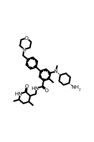 Cc1c(C(=O)NCC2C(=O)NC(C)CC2C)cc(-c2ccc(CN3CCOCC3)cc2)cc1N(C)[C@H]1CC[C@@H](N)CC1